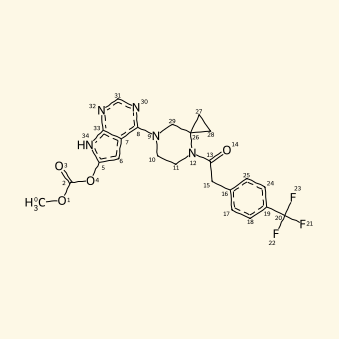 COC(=O)Oc1cc2c(N3CCN(C(=O)Cc4ccc(C(F)(F)F)cc4)C4(CC4)C3)ncnc2[nH]1